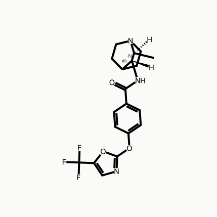 C[C@H]1[C@H](NC(=O)c2ccc(Oc3ncc(C(F)(F)F)o3)cc2)C2CCN1CC2